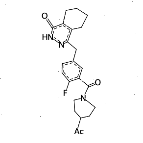 CC(=O)C1CCN(C(=O)c2cc(Cc3n[nH]c(=O)c4c3CCCC4)ccc2F)CC1